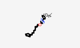 CCCCCCCCCCc1ccc(-c2ncc(OCCCCCCCCC3CCCC3)cn2)cc1